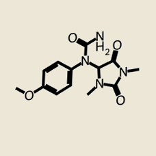 COc1ccc(N(C(N)=O)C2C(=O)N(C)C(=O)N2C)cc1